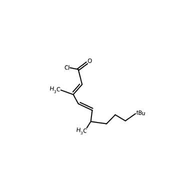 CC(C=CC(C)CCCC(C)(C)C)=CC(=O)Cl